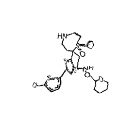 O=C(CC1(c2ccc(-c3ccc(Cl)s3)s2)CCNCCS1(=O)=O)NOC1CCCCO1